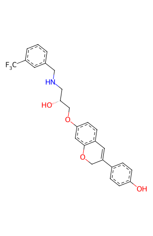 Oc1ccc(C2=Cc3ccc(OC[C@H](O)CNCc4cccc(C(F)(F)F)c4)cc3OC2)cc1